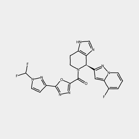 O=C(c1nnc(-c2ccn(C(F)F)n2)o1)N1CCc2[nH]cnc2[C@H]1c1cc2c(F)cccn2n1